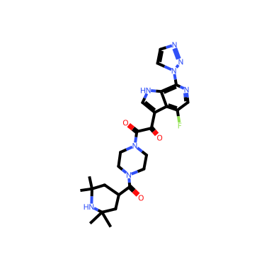 CC1(C)CC(C(=O)N2CCN(C(=O)C(=O)c3c[nH]c4c(-n5ccnn5)ncc(F)c34)CC2)CC(C)(C)N1